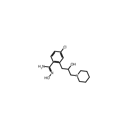 NC(=NO)c1ccc(Cl)cc1CC(O)CN1CCCCC1